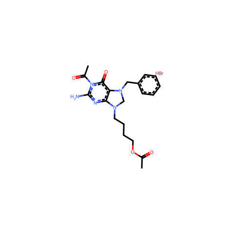 Br.CC(=O)OCCCCN1CN(Cc2ccccc2)c2c1nc(N)n(C(C)=O)c2=O